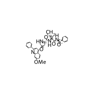 C=C[C@@H]1C[C@]1(NC(=O)[C@@H]1C[C@@H](Oc2cc(-c3ccccc3)nc3cc(OC)ccc23)CN1)C(=O)N[S+]([O-])c1ccccc1